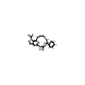 O=C1Nc2cc3cnn(C(F)F)c3c(n2)CCCOCC(c2ccccc2)N1